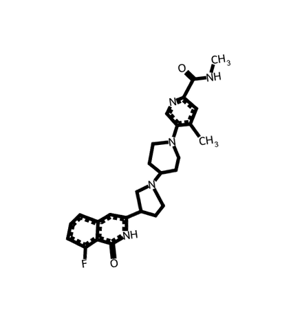 CNC(=O)c1cc(C)c(N2CCC(N3CCC(c4cc5cccc(F)c5c(=O)[nH]4)C3)CC2)cn1